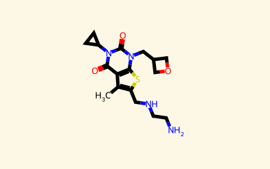 Cc1c(CNCCN)sc2c1c(=O)n(C1CC1)c(=O)n2CC1COC1